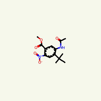 COC(=O)c1cc(NC(C)=O)c(C(C)(C)C)cc1[N+](=O)[O-]